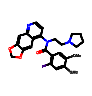 COc1cc(I)c(C(=O)N(CCN2CCCC2)c2ccnc3cc4c(cc23)OCO4)cc1OC